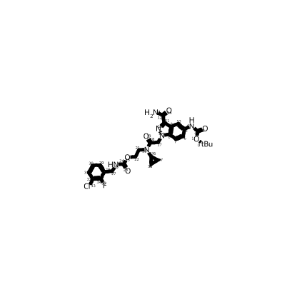 CC(C)(C)OC(=O)Nc1ccc2c(c1)c(C(N)=O)nn2CC(=O)N(CCOC(=O)NCc1cccc(Cl)c1F)C1CC1